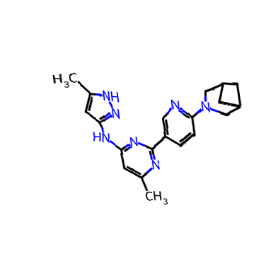 Cc1cc(Nc2cc(C)[nH]n2)nc(-c2ccc(N3CC4CC(C4)C3)nc2)n1